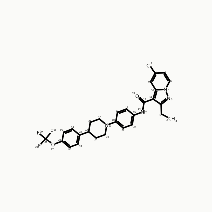 CCc1nn2ccc(Cl)cc2c1C(=O)Nc1ccc(N2CCC(c3ccc(OC(F)(F)F)cc3)CC2)cc1